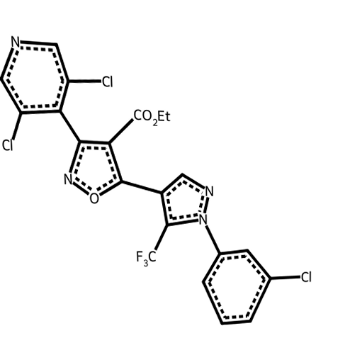 CCOC(=O)c1c(-c2c(Cl)cncc2Cl)noc1-c1cnn(-c2cccc(Cl)c2)c1C(F)(F)F